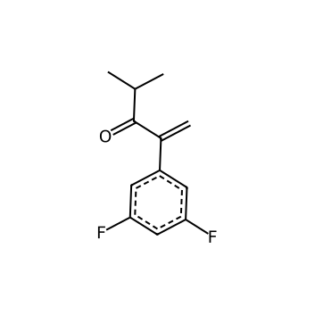 C=C(C(=O)C(C)C)c1cc(F)cc(F)c1